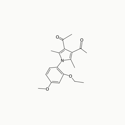 CCOc1cc(OC)ccc1-n1c(C)c(C(C)=O)c(C(C)=O)c1C